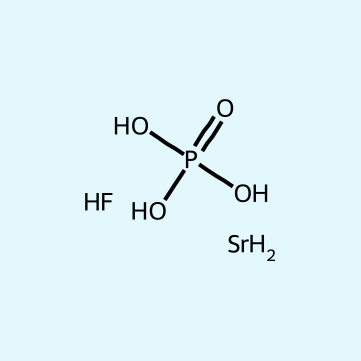 F.O=P(O)(O)O.[SrH2]